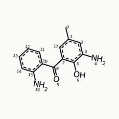 Cc1cc(N)c(O)c(C(=O)c2ccccc2N)c1